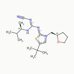 CC(C)[C@@H](C)NC(/N=c1\sc(C(C)(C)C)cn1C[C@H]1CCCO1)=N\C#N